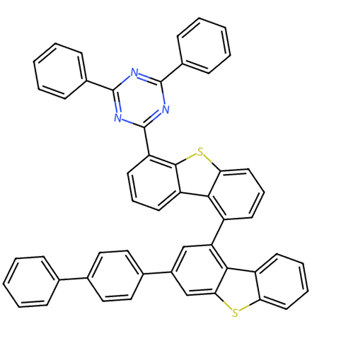 c1ccc(-c2ccc(-c3cc(-c4cccc5sc6c(-c7nc(-c8ccccc8)nc(-c8ccccc8)n7)cccc6c45)c4c(c3)sc3ccccc34)cc2)cc1